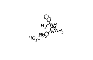 C[C@@H](Nc1cc(-c2ccc(C[C@H](N)C(=O)O)cc2)nc(N)n1)c1ccc2ccccc2c1